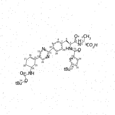 C[C@@H](NC(=O)[C@H](Cc1ccc(-c2ncc(C3=CCCC(NC(=O)OC(C)(C)C)C3)cn2)cc1)NC(=O)c1ccc(C(C)(C)C)s1)C(=O)O